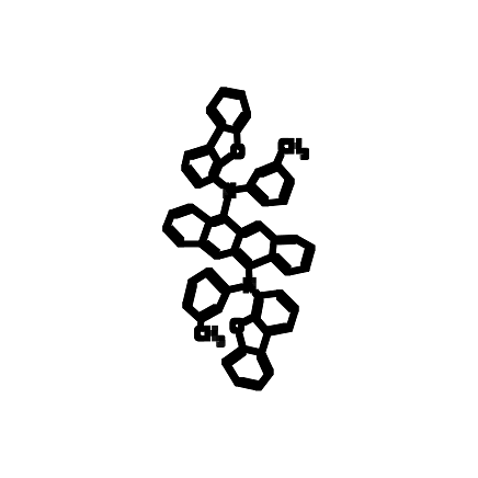 Cc1cccc(N(c2c3ccccc3cc3c(N(c4cccc(C)c4)c4cccc5c4oc4ccccc45)c4ccccc4cc23)c2cccc3c2oc2ccccc23)c1